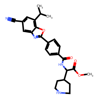 COC(=O)C(NC(=O)c1ccc(-c2nc3cc(C#N)cc(C(C)C)c3o2)cc1)C1CCNCC1